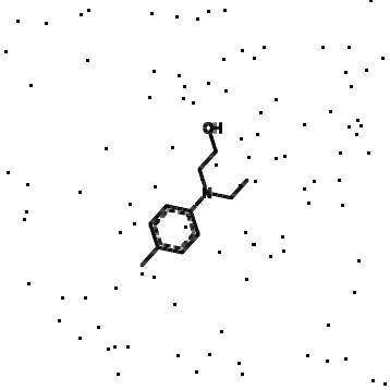 CCN(CCO)c1ccc(C)cc1